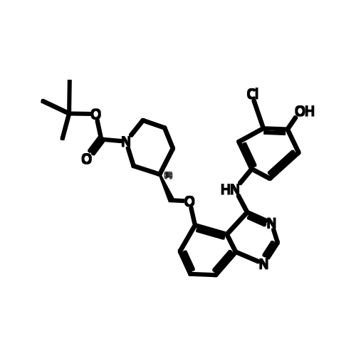 CC(C)(C)OC(=O)N1CCC[C@@H](COc2cccc3ncnc(Nc4ccc(O)c(Cl)c4)c23)C1